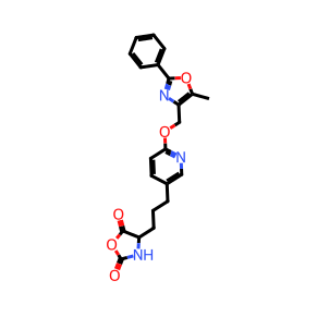 Cc1oc(-c2ccccc2)nc1COc1ccc(CCCC2NC(=O)OC2=O)cn1